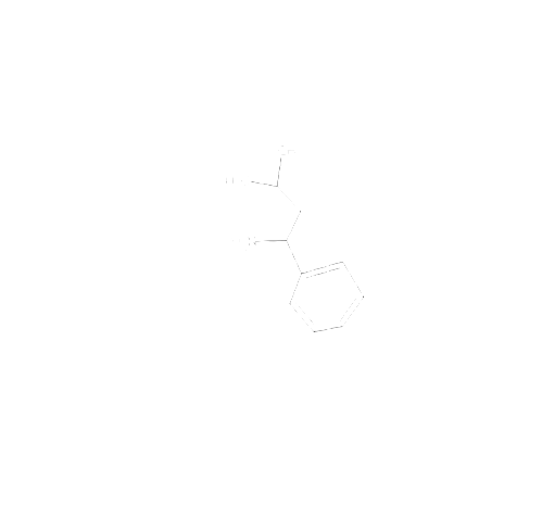 CC(C)C[C](N)c1ccccc1